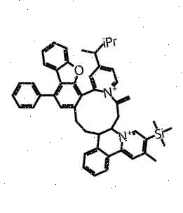 C=C1CC2C(CCc3cc(-c4ccccc4)c4c(oc5ccccc54)c3-c3cc(C(C)C(C)C)cc[n+]31)c1ccccc1-c1cc(C)c([Si](C)(C)C)c[n+]12